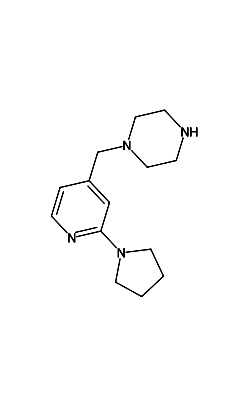 c1cc(CN2CCNCC2)cc(N2CCCC2)n1